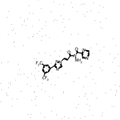 NN(C(=O)C=Cn1cnc(-c2cc(C(F)(F)F)cc(C(F)(F)F)c2)n1)C(=O)c1cnccn1